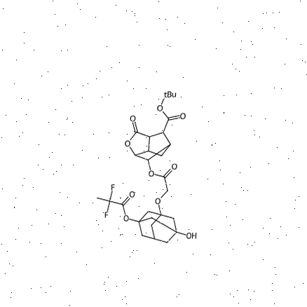 CC(C)(C)OC(=O)C1C2CC3C(OC(=O)C31)C2OC(=O)COC12CC3CC(O)(C1)CC(OC(=O)C(C)(F)F)(C3)C2